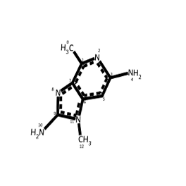 Cc1nc(N)cc2c1nc(N)n2C